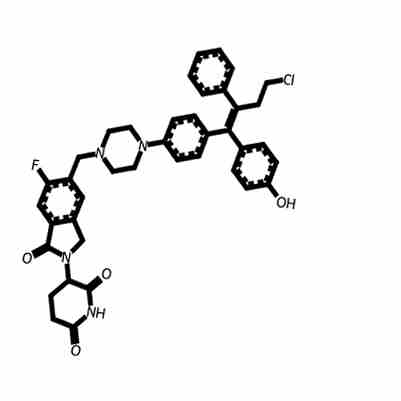 O=C1CCC(N2Cc3cc(CN4CCN(c5ccc(/C(=C(/CCCl)c6ccccc6)c6ccc(O)cc6)cc5)CC4)c(F)cc3C2=O)C(=O)N1